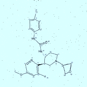 COc1cnc([C@@H]2CN(C3COC3)CC[C@H]2NC(=O)Nc2ccc(Cl)cc2)c(F)c1